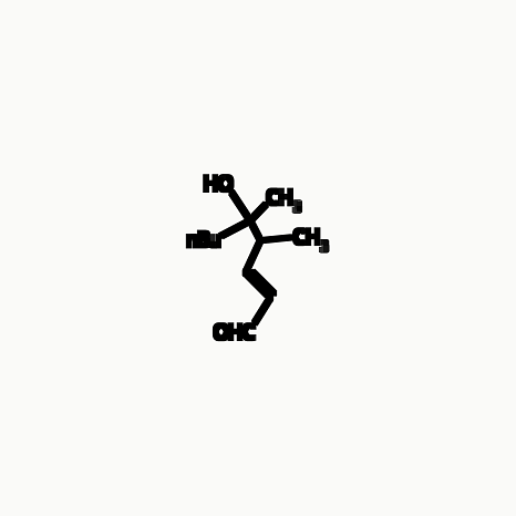 CCCCC(C)(O)C(C)C=CC=O